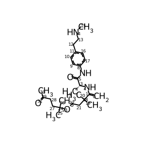 C=C(N[C@H](C)C(=O)Nc1ccc(CCNC)cc1)C(C)(C)CCOC(C)(C)CCC(C)=O